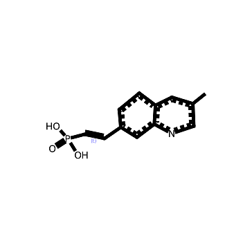 Cc1cnc2cc(/C=C/P(=O)(O)O)ccc2c1